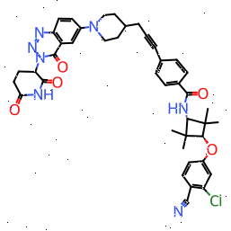 CC1(C)[C@H](NC(=O)c2ccc(C#CCC3CCN(c4ccc5nnn(C6CCC(=O)NC6=O)c(=O)c5c4)CC3)cc2)C(C)(C)[C@H]1Oc1ccc(C#N)c(Cl)c1